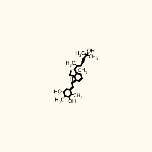 C[C@H]1[C@H](O)[C@H](C)/C(=C/C=C2\C=CC[C@@]3(C)[C@@H]2CC[C@@H]3[C@@H](C)CC#CC(C)(C)O)C[C@H]1O